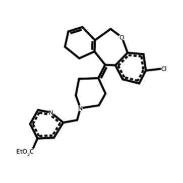 CCOC(=O)c1ccnc(CN2CCC(=C3C4=C(C=CCC4)COc4cc(Cl)ccc43)CC2)c1